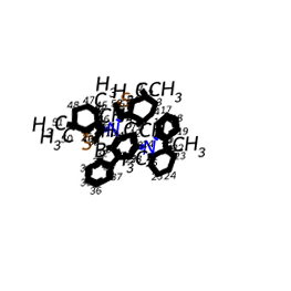 CC1(C)CCC(C)(C)c2c(N3c4cc(N5c6ccccc6C6(C)CCCCC56C)cc5c4B(c4ccccc4-5)c4sc5c(c43)C(C)(C)CCC5(C)C)csc21